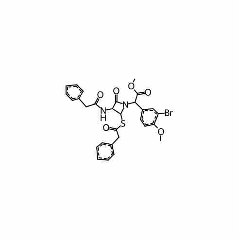 COC(=O)C(c1ccc(OC)c(Br)c1)N1C(=O)C(NC(=O)Cc2ccccc2)C1SC(=O)Cc1ccccc1